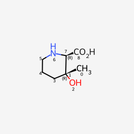 C[C@@]1(O)CCCN[C@H]1C(=O)O